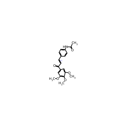 COc1cc(C(=O)/C=C/c2ccc(NC(C)=O)cc2)cc(OC)c1OC